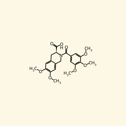 COc1cc2c(cc1OC)CN(C(=O)c1cc(OC)c(OC)c(OC)c1)[C@H](C(=O)O)C2